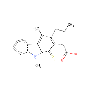 CCCC1=C(CC(=O)O)C(=S)C2C(=C1C)c1ccccc1N2C